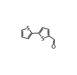 O=Cc1ccc(-c2cccs2)s1